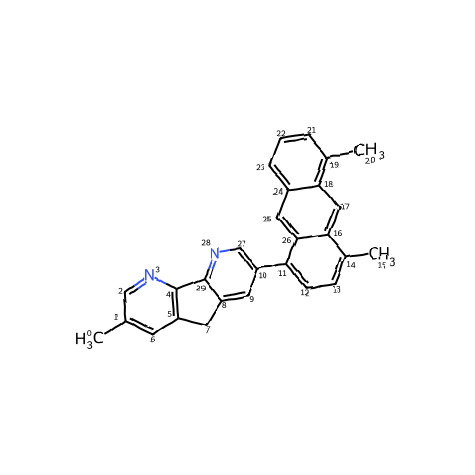 Cc1cnc2c(c1)Cc1cc(-c3ccc(C)c4cc5c(C)cccc5cc34)cnc1-2